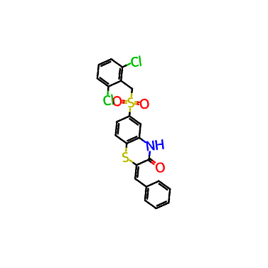 O=C1Nc2cc(S(=O)(=O)Cc3c(Cl)cccc3Cl)ccc2S/C1=C/c1ccccc1